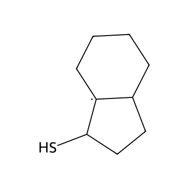 SC1CCC2CCCC[C]12